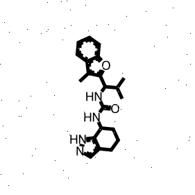 Cc1c(C(NC(=O)NC2CCCc3cn[nH]c32)C(C)C)oc2ccccc12